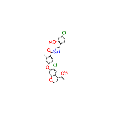 C=C(O)C1CCOc2cc(Oc3ccc(C(=O)NCCc4ccc(Cl)cc4O)c(C)c3)c(Cl)cc21